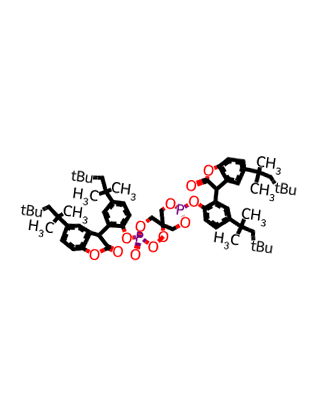 CC(C)(C)CC(C)(C)c1ccc2c(c1)C(c1cc(C(C)(C)CC(C)(C)C)ccc1OP1OCC3(CO1)COP(=O)(Oc1ccc(C(C)(C)CC(C)(C)C)cc1C1C(=O)Oc4ccc(C(C)(C)CC(C)(C)C)cc41)OO3)C(=O)O2